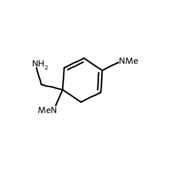 CNC1=CCC(CN)(NC)C=C1